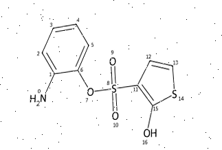 Nc1ccccc1OS(=O)(=O)c1ccsc1O